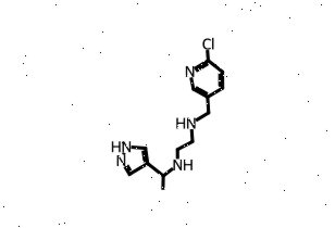 CC(NCCNCc1ccc(Cl)nc1)c1cn[nH]c1